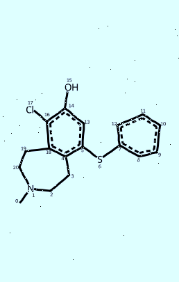 CN1CCc2c(Sc3ccccc3)cc(O)c(Cl)c2CC1